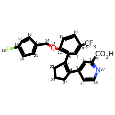 O=C(O)c1cc(C2=C(c3cc(C(F)(F)F)ccc3OCc3ccc(F)cc3)CCC2)ccn1